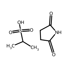 CC(C)S(=O)(=O)O.O=C1CCC(=O)N1